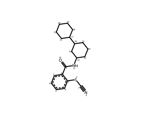 N#CSc1ccccc1C(=O)NC1CCCC(C2CCCCC2)C1